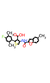 Cc1ccc2oc(C(=O)Nc3csc(-c4cc(C)c(F)cc4C)c3C(=O)O)cc2c1